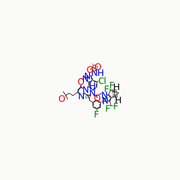 COC(C)(C)CCc1cc(=O)n(-c2ccc(Cl)c3c(NS(C)(=O)=O)nn(C)c23)c([C@H](Cc2cc(F)cc(F)c2)NC(=O)Cn2nc(C(F)F)c3c2C(F)(F)[C@@H]2C[C@H]32)n1